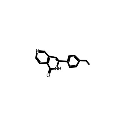 CCc1ccc(-c2cc3cnccc3c(=O)[nH]2)cc1